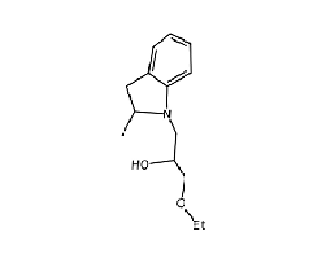 CCOCC(O)CN1c2ccccc2CC1C